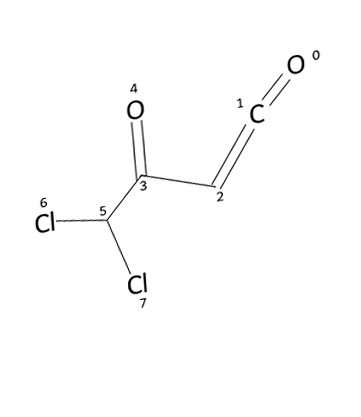 O=C=CC(=O)C(Cl)Cl